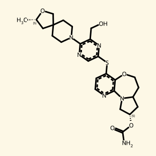 C[C@H]1CC2(CCN(c3ncc(Sc4ccnc5c4OCCC4C[C@H](OC(N)=O)CN54)nc3CO)CC2)CO1